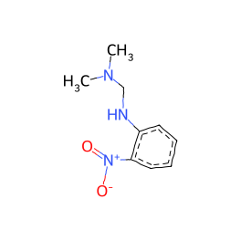 CN(C)CNc1ccccc1[N+](=O)[O-]